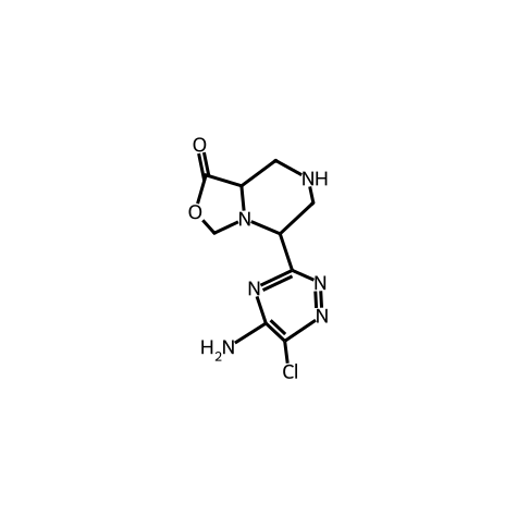 Nc1nc(C2CNCC3C(=O)OCN32)nnc1Cl